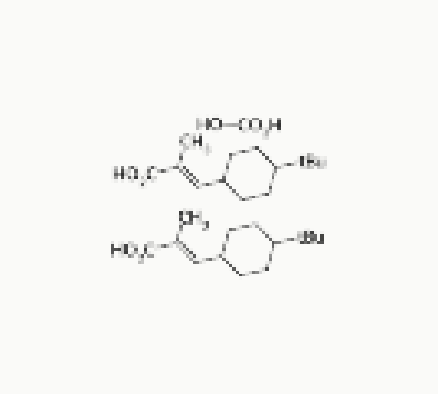 CC(=CC1CCC(C(C)(C)C)CC1)C(=O)O.CC(=CC1CCC(C(C)(C)C)CC1)C(=O)O.O=C(O)O